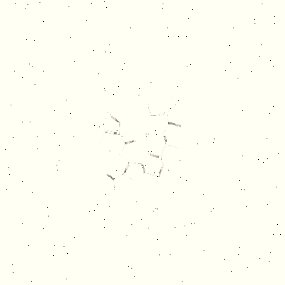 CCN(CC)C(=O)C=C(C)c1ccc2oc(C(C)=O)c(NC(=O)c3cnoc3C)c2c1